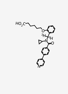 [2H]C([2H])(c1ccccc1OCCCCCC(=O)O)N(C(=O)c1ccc(-c2ccncc2)cc1)C1CC1